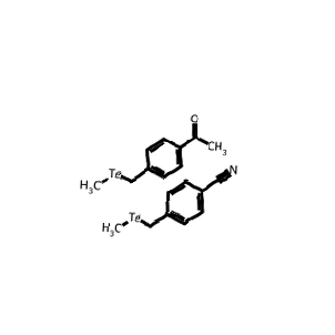 C[Te]Cc1ccc(C#N)cc1.C[Te]Cc1ccc(C(C)=O)cc1